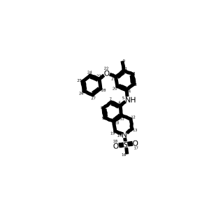 Cc1ccc(Nc2cccc3c2CCN(S(C)(=O)=O)C3)cc1Oc1ccccc1